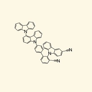 N#Cc1ccc2c(c1)c1ccccc1n2-c1c(C#N)cccc1-c1ccc(-n2c3ccccc3c3c(-n4c5ccccc5c5ccccc54)cccc32)cc1